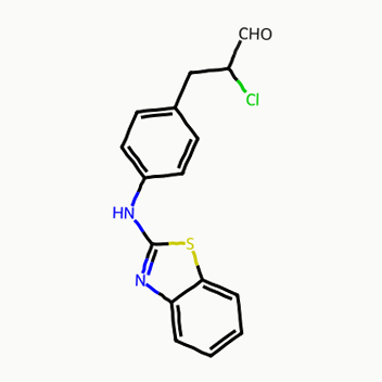 O=CC(Cl)Cc1ccc(Nc2nc3ccccc3s2)cc1